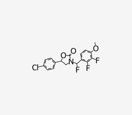 COc1ccc(C(F)N2CC(c3ccc(Cl)cc3)OC2=O)c(F)c1F